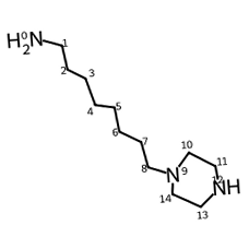 NCCCCCCCCN1CCNCC1